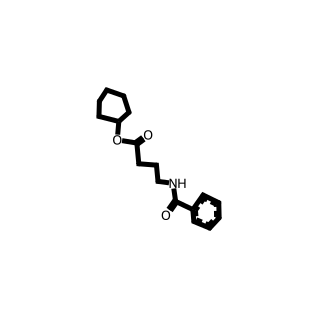 O=C(CCCNC(=O)c1ccccc1)OC1CCCCC1